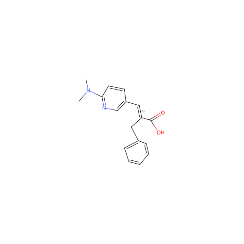 CN(C)c1ccc(/C=C(\Cc2ccccc2)C(=O)O)cn1